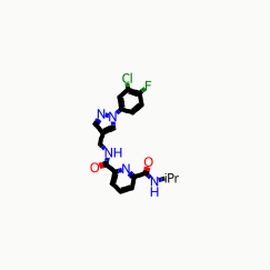 CC(C)NC(=O)c1cccc(C(=O)NCc2cnn(-c3ccc(F)c(Cl)c3)c2)n1